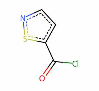 O=C(Cl)c1ccns1